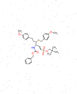 COc1ccc(CCC(SCc2ccc(OC)cc2)C(C=CS(=O)(=O)OCC(C)(C)C)NC(=O)OCc2ccccc2)cc1